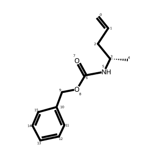 C=CC[C@H](C)NC(=O)OCc1ccccc1